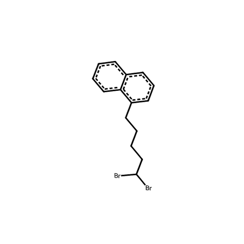 BrC(Br)CCCCc1cccc2ccccc12